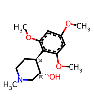 COc1cc(OC)c([C@@H]2CCN(C)C[C@H]2O)c(OC)c1